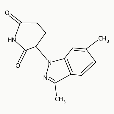 Cc1ccc2c(C)nn(C3CCC(=O)NC3=O)c2c1